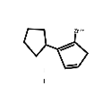 [I-].[I-].[Zr+2][C]1=C(C2CCCC2)C=CC1